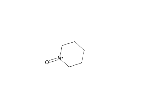 O=[N+]1CCCCC1